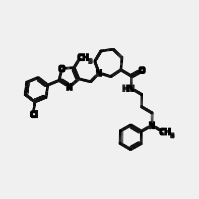 Cc1oc(-c2cccc(Cl)c2)nc1CN1CCCCC(C(=O)NCCCN(C)c2ccccc2)C1